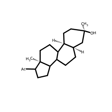 CC(=O)C1CCC2C3CC[C@@H]4C[C@](C)(O)CC[C@@H]4C3CC[C@]12C